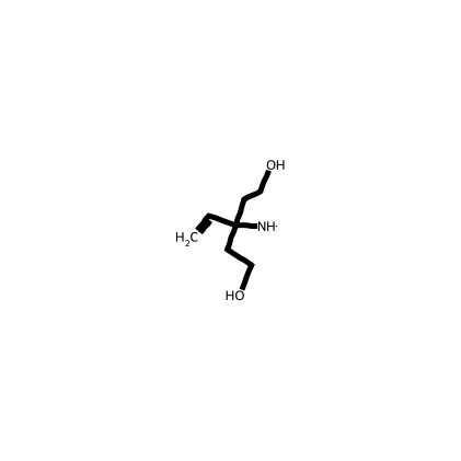 C=CC([NH])(CCO)CCO